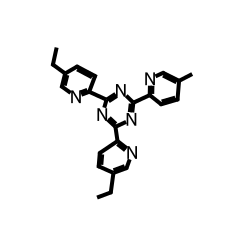 CCc1ccc(-c2nc(-c3ccc(C)cn3)nc(-c3ccc(CC)cn3)n2)nc1